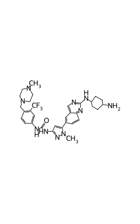 CN1CCN(Cc2ccc(NC(=O)Nc3cc(-c4ccc5nc(NC6CCC(N)CC6)ncc5c4)n(C)n3)cc2C(F)(F)F)CC1